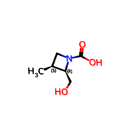 C[C@H]1CN(C(=O)O)[C@H]1CO